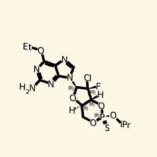 CCOc1nc(N)nc2c1ncn2[C@@H]1O[C@@H]2CO[P@@](=S)(OC(C)C)O[C@H]2[C@@]1(F)Cl